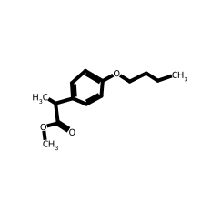 CCCCOc1ccc(C(C)C(=O)OC)cc1